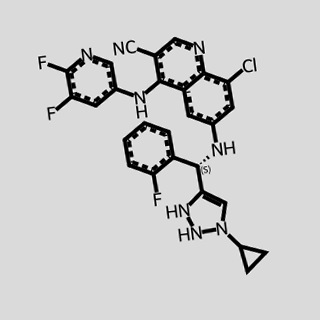 N#Cc1cnc2c(Cl)cc(N[C@H](C3=CN(C4CC4)NN3)c3ccccc3F)cc2c1Nc1cnc(F)c(F)c1